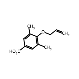 C=CCOc1c(C)cc(C(=O)O)cc1C